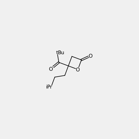 CC(C)CCC1(C(=O)C(C)(C)C)CC(=O)O1